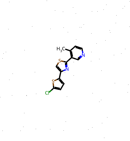 Cc1ccncc1-c1nc(-c2ccc(Cl)s2)cs1